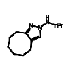 CCCNn1cc2c(n1)CCCCCC2